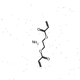 C=CC(=O)OCCOC(=O)C=C.N